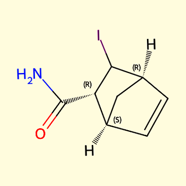 NC(=O)[C@@H]1C(I)[C@H]2C=C[C@@H]1C2